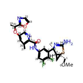 COC[C@]12C[C@H]1[C@@](C)(c1cc(NC(=O)c3ncc(O[C@@H](C)c4ncco4)cc3C)cc(F)c1F)N=C(N)S2